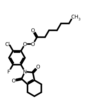 CCCCCCC(=O)OOc1cc(N2C(=O)C3=C(CCCC3)C2=O)c(F)cc1Cl